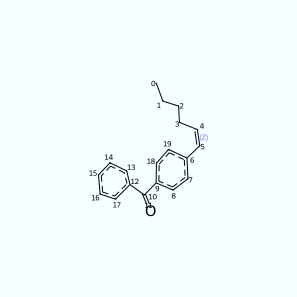 CCCC/C=C\c1ccc(C(=O)c2ccccc2)cc1